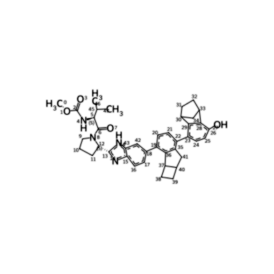 COC(=O)N[C@H](C(=O)N1CCC[C@H]1c1nc2ccc(-c3ccc(-c4ccc(O)c5c4C4CCC5C4)c4c3C3CCC3C4)cc2[nH]1)C(C)C